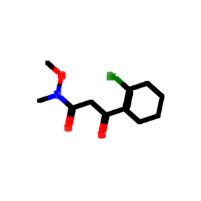 CON(C)C(=O)CC(=O)C1=C(Br)CCCC1